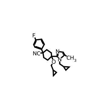 Cc1cnc(C2(OCC3CC3)CCC(C#N)(c3ccc(F)cc3)CC2)n1CC1CC1